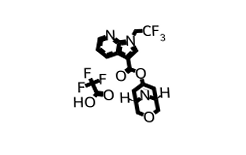 CN1[C@@H]2COC[C@H]1CC(OC(=O)c1cn(CC(F)(F)F)c3ncccc13)C2.O=C(O)C(F)(F)F